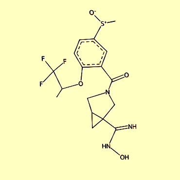 CC(Oc1ccc([S+](C)[O-])cc1C(=O)N1CC2CC2(C(=N)NO)C1)C(F)(F)F